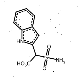 NS(=O)(=O)C(C(=O)O)c1cc2ccccc2[nH]1